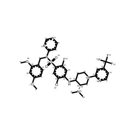 COc1ccc(CN(c2ccncn2)S(=O)(=O)c2cc(Cl)c(NC3CCN(c4cc(C(F)(F)F)ccn4)C[C@@H]3N(C)C)cc2F)c(OC)c1